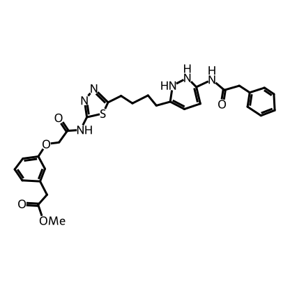 COC(=O)Cc1cccc(OCC(=O)Nc2nnc(CCCCC3=CC=C(NC(=O)Cc4ccccc4)NN3)s2)c1